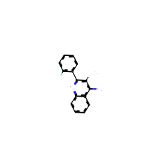 N#Cc1c(-c2ccccc2F)nc2ccccc2c1N